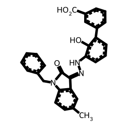 Cc1ccc2c(c1)C(=NNc1cccc(-c3cccc(C(=O)O)c3)c1O)C(=O)N2Cc1ccccc1